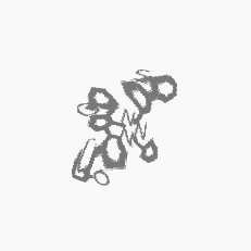 C1=CC(c2ccc3oc4ccccc4c3c2-c2nc(-c3ccccc3)nc(-c3ccc4sc5ccccc5c4c3)n2)=C2c3ccccc3OC2C1